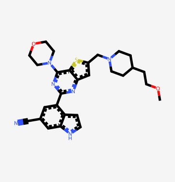 COCCC1CCN(Cc2cc3nc(-c4cc(C#N)cc5[nH]ccc45)nc(N4CCOCC4)c3s2)CC1